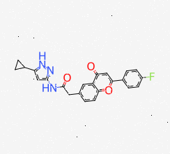 O=C(Cc1ccc2oc(-c3ccc(F)cc3)cc(=O)c2c1)Nc1cc(C2CC2)[nH]n1